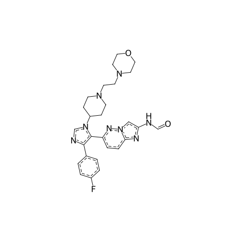 O=CNc1cn2nc(-c3c(-c4ccc(F)cc4)ncn3C3CCN(CCN4CCOCC4)CC3)ccc2n1